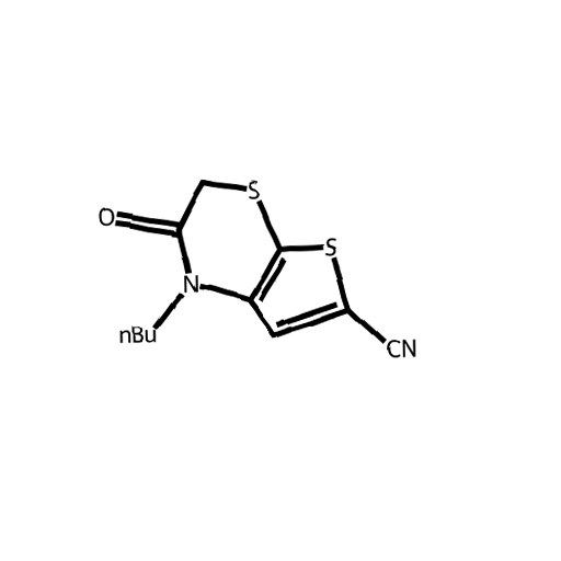 CCCCN1C(=O)CSc2sc(C#N)cc21